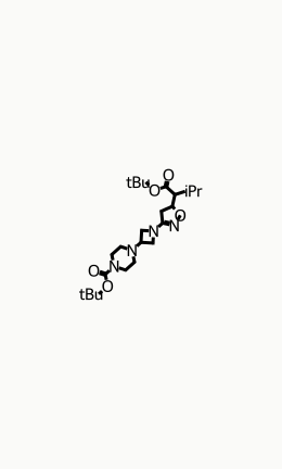 CC(C)C(C(=O)OC(C)(C)C)C1CC(N2CC(N3CCN(C(=O)OC(C)(C)C)CC3)C2)=NO1